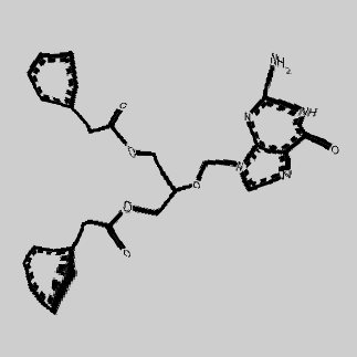 Nc1nc2c(ncn2COC(COC(=O)Cc2ccccc2)COC(=O)Cc2ccccc2)c(=O)[nH]1